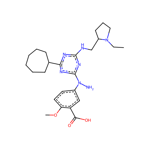 CCN1CCCC1CNc1nc(C2CCCCCC2)nc(N(N)c2ccc(OC)c(C(=O)O)c2)n1